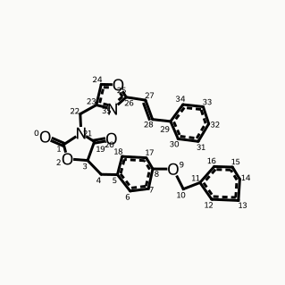 O=C1OC(Cc2ccc(OCc3ccccc3)cc2)C(=O)N1Cc1coc(C=Cc2ccccc2)n1